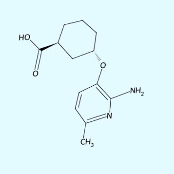 Cc1ccc(O[C@H]2CCC[C@H](C(=O)O)C2)c(N)n1